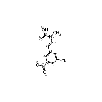 CN(N=Cc1cc(Cl)cc([N+](=O)[O-])c1)C(=O)O